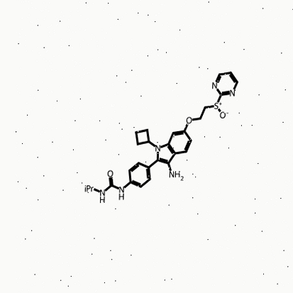 CC(C)NC(=O)Nc1ccc(-c2c(N)c3ccc(OCC[S+]([O-])c4ncccn4)cc3n2C2CCC2)cc1